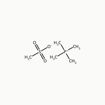 CS(=O)(=O)[O-].C[P+](C)(C)C